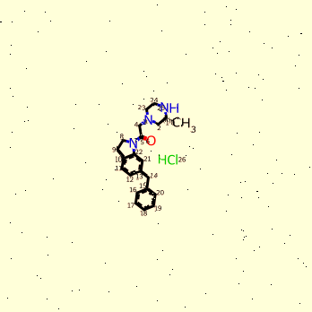 C[C@@H]1CN(CC(=O)N2CCc3ccc(Cc4ccccc4)cc32)CCN1.Cl